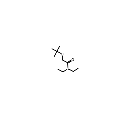 CCN(CC)C(=O)COC(C)(C)C